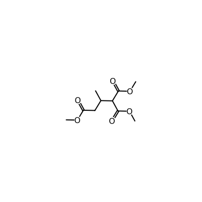 COC(=O)CC(C)C(C(=O)OC)C(=O)OC